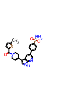 Cc1ccc(C(=O)N2CC=C(c3c[nH]c4ncc(-c5ccc(S(N)(=O)=O)cc5)cc34)CC2)s1